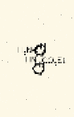 CCOC(=O)N1CCCCC1Nc1ccncc1N